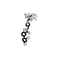 CC(C)(C)NC(=O)CN1CCC(CNC(=O)c2cccc(-c3ccc(Cl)cc3Cl)c2)CC1